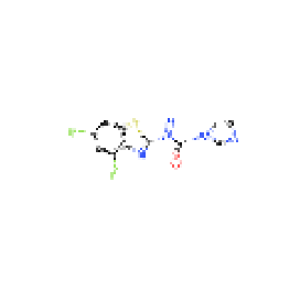 O=C(Nc1nc2c(F)cc(F)cc2s1)n1ccnc1